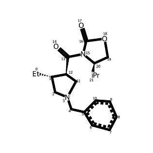 CC[C@H]1CN(Cc2ccccc2)C[C@@H]1C(=O)N1C(=O)OC[C@H]1C(C)C